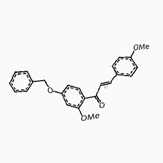 COc1ccc(/C=C/C(=O)c2ccc(OCc3ccccc3)cc2OC)cc1